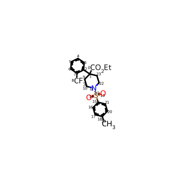 CCOC(=O)C1(c2ccccc2C(F)(F)F)CCN(S(=O)(=O)c2ccc(C)cc2)CC1